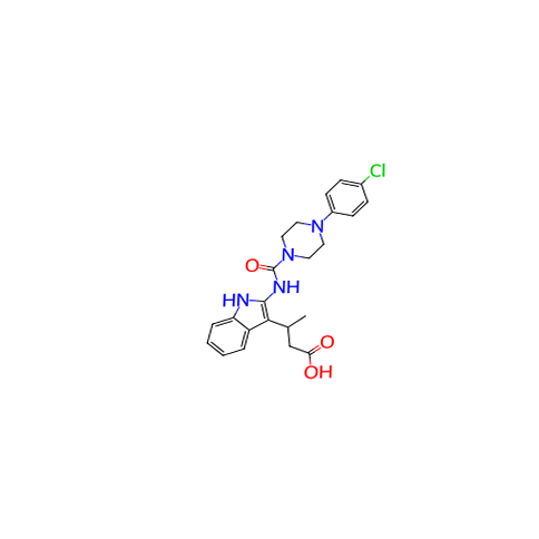 CC(CC(=O)O)c1c(NC(=O)N2CCN(c3ccc(Cl)cc3)CC2)[nH]c2ccccc12